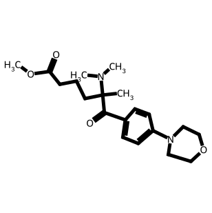 COC(=O)CCCC(C)(C(=O)c1ccc(N2CCOCC2)cc1)N(C)C